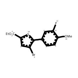 CCOC(=O)c1cc(Br)c(-c2ccc(OC)c(F)c2)s1